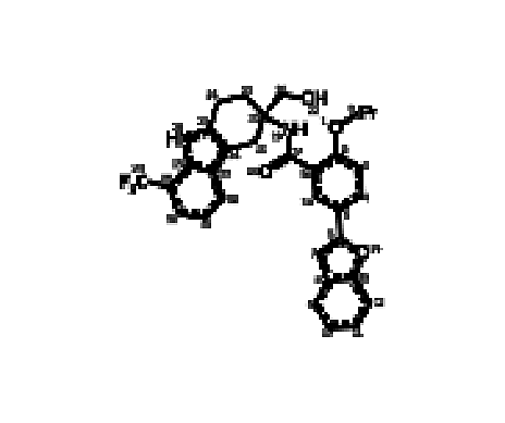 CC(C)Oc1ccc(-c2cc3ccccc3o2)cc1C(=O)N[C@@]1(CO)CCc2[nH]c3c(C(F)(F)F)cccc3c2C1